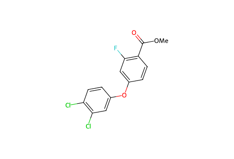 COC(=O)c1ccc(Oc2ccc(Cl)c(Cl)c2)cc1F